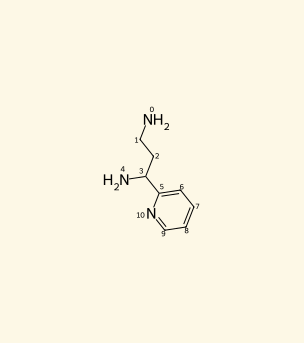 NCCC(N)c1ccccn1